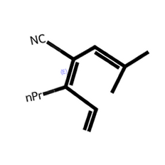 C=C/C(CCC)=C(/C#N)C=C(C)C